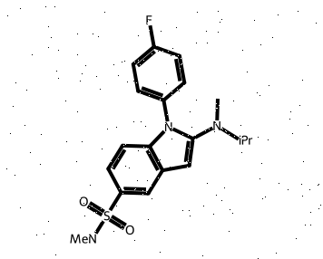 CNS(=O)(=O)c1ccc2c(c1)cc(N(C)C(C)C)n2-c1ccc(F)cc1